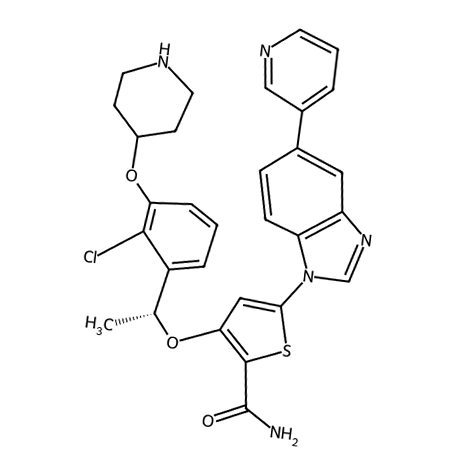 C[C@@H](Oc1cc(-n2cnc3cc(-c4cccnc4)ccc32)sc1C(N)=O)c1cccc(OC2CCNCC2)c1Cl